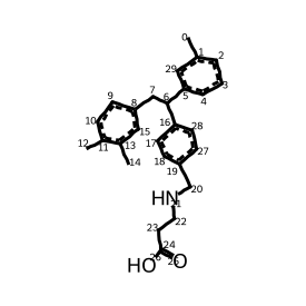 Cc1cccc(C(Cc2ccc(C)c(C)c2)c2ccc(CNCCC(=O)O)cc2)c1